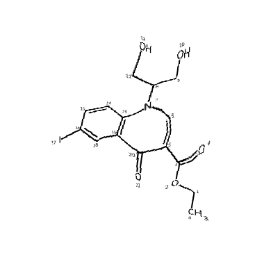 CCOC(=O)c1cn(C(CO)CO)c2ccc(I)cc2c1=O